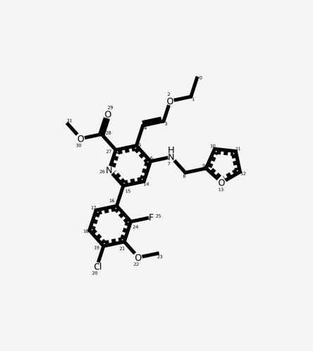 CCO/C=C/c1c(NCc2ccco2)cc(-c2ccc(Cl)c(OC)c2F)nc1C(=O)OC